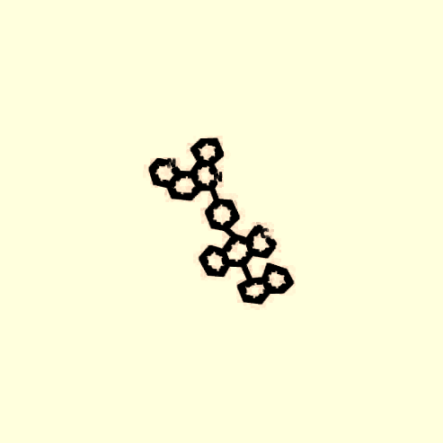 c1ccc2c(-c3c4ccccc4c(-c4ccc(-c5nc6ccccc6c6c5ccc5cccnc56)cc4)c4ccccc34)cccc2c1